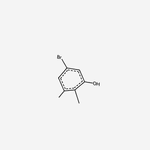 Cc1cc(Br)cc(O)c1C